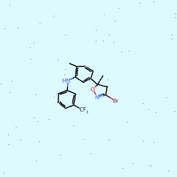 Cc1ccc(C2(C)CC(Br)=NO2)cc1Nc1cccc(C(F)(F)F)c1